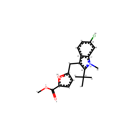 COC(=O)c1ccc(Cc2c(C(C)(C)C)n(C)c3cc(Cl)ccc23)o1